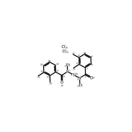 CC[N]([Ti+2][N](CC)C(=O)c1cccc(C)c1C)C(=O)c1cccc(C)c1C.[Cl-].[Cl-]